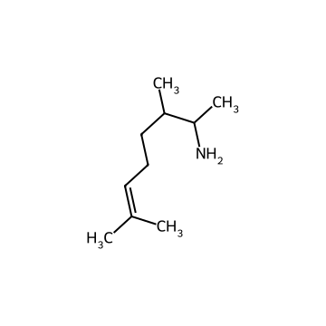 CC(C)=CCCC(C)C(C)N